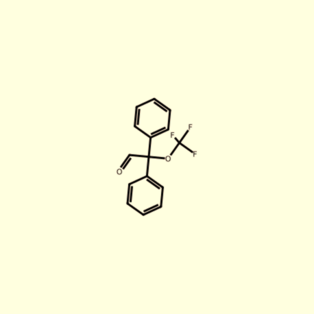 O=CC(OC(F)(F)F)(c1ccccc1)c1ccccc1